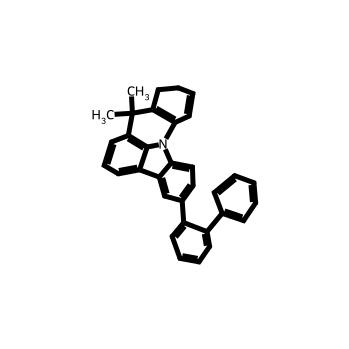 CC1(C)C2=C(C=CCC2)n2c3ccc(-c4ccccc4-c4ccccc4)cc3c3cccc1c32